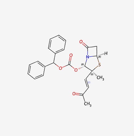 CC(=O)/C=C/[C@]1(C)S[C@@H]2CC(=O)N2[C@H]1OC(=O)OC(c1ccccc1)c1ccccc1